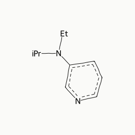 CCN(c1cccnc1)C(C)C